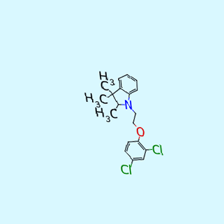 CC1N(CCOc2ccc(Cl)cc2Cl)c2ccccc2C1(C)C